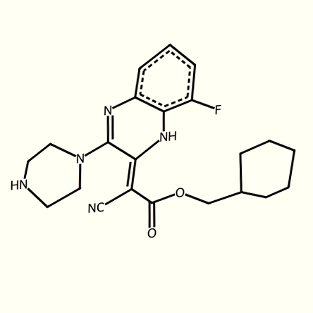 N#CC(C(=O)OCC1CCCCC1)=C1Nc2c(F)cccc2N=C1N1CCNCC1